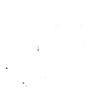 COc1ncnc(OC)c1-c1cc2cc(NC(=O)C3CC3)ncc2n1C